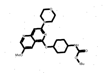 COc1cnc2cc(N3CCOCC3)nc(OC3CCC(NC(=O)OC(C)(C)C)CC3)c2c1